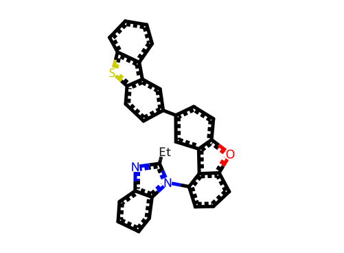 CCc1nc2ccccc2n1-c1cccc2oc3ccc(-c4ccc5sc6ccccc6c5c4)cc3c12